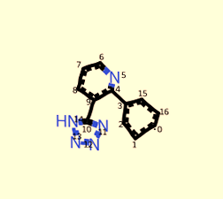 [c]1ccc(-c2ncccc2-c2nnn[nH]2)cc1